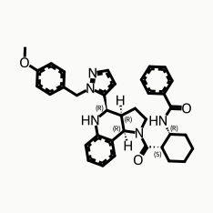 COc1ccc(Cn2nccc2[C@@H]2Nc3ccccc3[C@H]3[C@@H]2CCN3C(=O)[C@H]2CCCC[C@H]2NC(=O)c2ccccc2)cc1